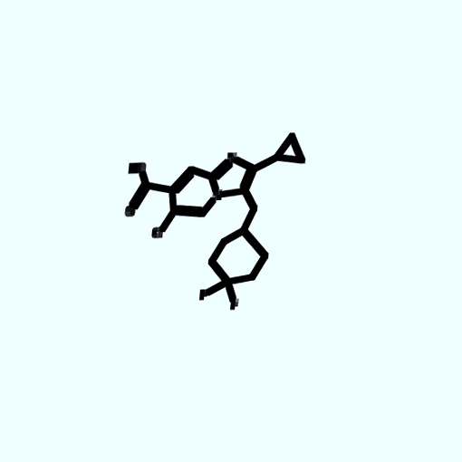 O=C(O)c1cc2nc(C3CC3)c(CC3CCC(F)(F)CC3)n2cc1Cl